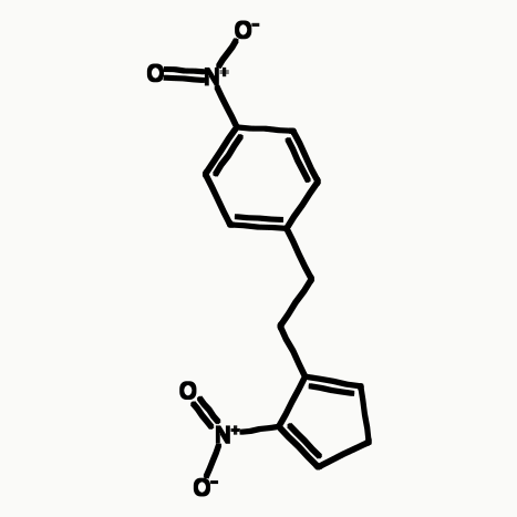 O=[N+]([O-])C1=CCC=C1CCc1ccc([N+](=O)[O-])cc1